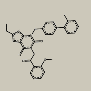 CCc1cc2c(=O)n(CC(=O)c3ccccc3OC)c(=O)n(Cc3ccc(-c4ccccc4C)cc3)c2s1